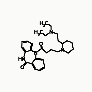 CCN(CC)CCC1CCCCN1CCCC(=O)N1c2ccccc2NC(=O)c2ccccc21